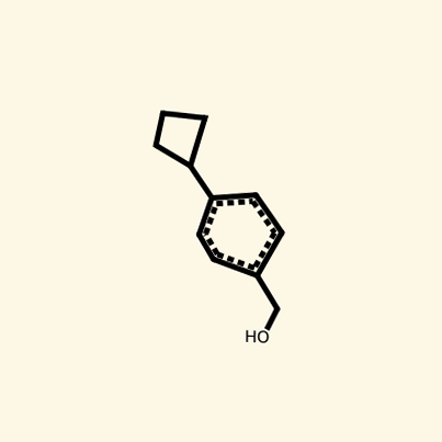 OCc1ccc(C2CCC2)cc1